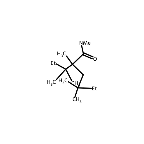 CCC(C)(C)CC(C)(C(=O)NC)C(C)(C)CC